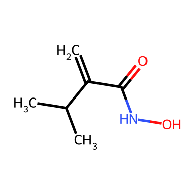 C=C(C(=O)NO)C(C)C